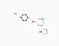 O=C(Oc1ccc(OC(F)F)cc1)N1CC(N2CCCC2=O)CC(F)(F)C1